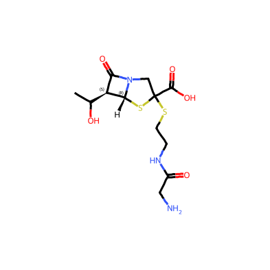 CC(O)[C@H]1C(=O)N2CC(SCCNC(=O)CN)(C(=O)O)S[C@H]12